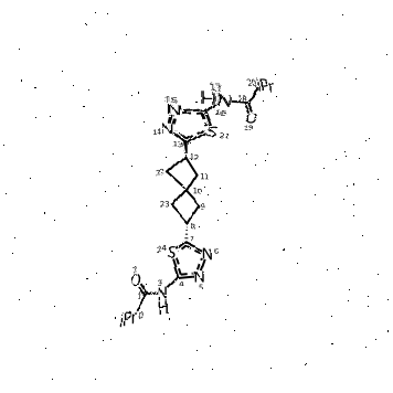 CC(C)C(=O)Nc1nnc([C@H]2CC3(C[C@H](c4nnc(NC(=O)C(C)C)s4)C3)C2)s1